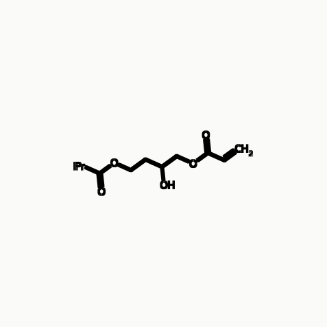 C=CC(=O)OCC(O)CCOC(=O)C(C)C